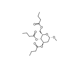 CCCC(=O)OC[C@H]1O[C@H](OC)C[C@@H](OC(=O)CCC)[C@@H]1OC(=O)CCC